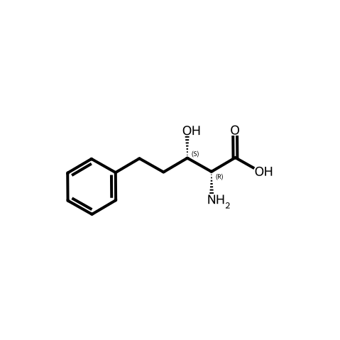 N[C@@H](C(=O)O)[C@@H](O)CCc1ccccc1